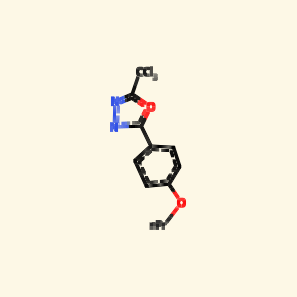 CCCOc1ccc(-c2nnc(C(Cl)(Cl)Cl)o2)cc1